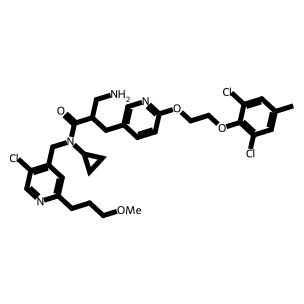 COCCCc1cc(CN(C(=O)C(CN)Cc2ccc(OCCOc3c(Cl)cc(C)cc3Cl)nc2)C2CC2)c(Cl)cn1